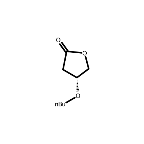 CCCCO[C@H]1COC(=O)C1